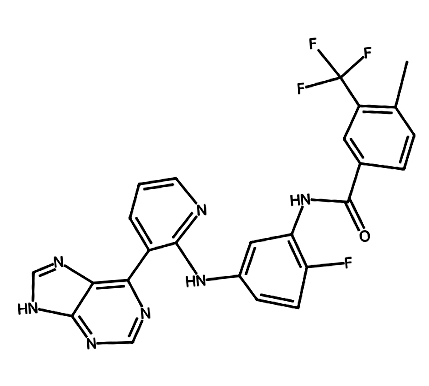 Cc1ccc(C(=O)Nc2cc(Nc3ncccc3-c3ncnc4[nH]cnc34)ccc2F)cc1C(F)(F)F